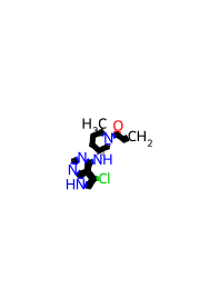 C=CC(=O)N1C[C@H](Nc2ncnc3[nH]cc(Cl)c23)CC[C@@H]1C